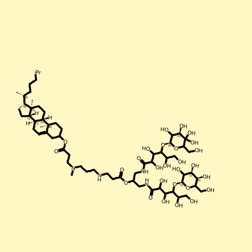 CC(C)CCC[C@@H](C)[C@H]1CC[C@H]2[C@@H]3CC=C4CC(OC(=O)CCN(C)CCCNCCC(=O)OC(CNC(=O)C(O)C(O)C(O[C@@H]5OC(CO)[C@H](O)[C@H](O)C5O)C(O)CO)CNC(=O)C(O)C(O)C(O[C@@H]5OC(CO)C(O)(O)[C@H](O)C5O)C(O)CO)CC[C@]4(C)[C@H]3CC[C@]12C